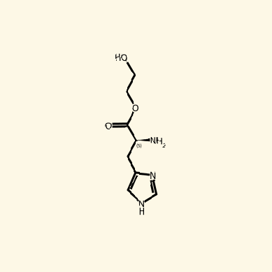 N[C@@H](Cc1c[nH]cn1)C(=O)OCCO